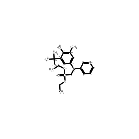 CCOP(=O)(CN(c1cccnc1)c1cc(C)c(O)c(C(C)(C)C)c1)OCC